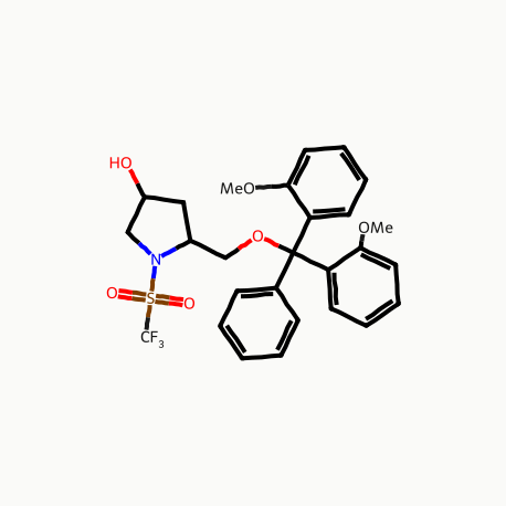 COc1ccccc1C(OCC1CC(O)CN1S(=O)(=O)C(F)(F)F)(c1ccccc1)c1ccccc1OC